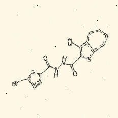 O=C(NNC(=O)c1sc2ccccc2c1Cl)c1ccc(Br)s1